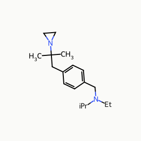 CCN(Cc1ccc(CC(C)(C)N2CC2)cc1)C(C)C